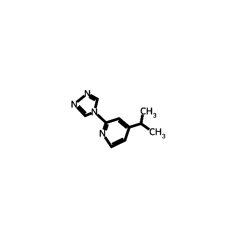 CC(C)c1ccnc(-n2cnnc2)c1